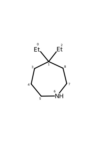 CCC1(CC)CCCNCC1